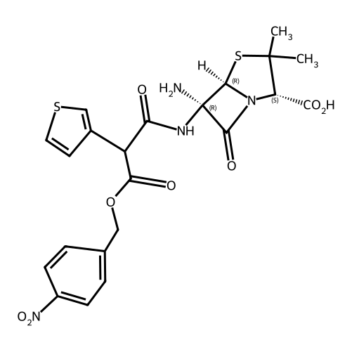 CC1(C)S[C@H]2N(C(=O)[C@@]2(N)NC(=O)C(C(=O)OCc2ccc([N+](=O)[O-])cc2)c2ccsc2)[C@H]1C(=O)O